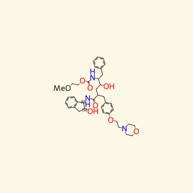 COCCOC(=O)NC(Cc1ccccc1)C(O)CC(Cc1ccc(OCCN2CCOCC2)cc1)C(=O)N[C@H]1c2ccccc2C[C@@H]1O